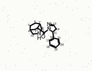 O=C(C1CC2CCC1CNC2)N1N=CCC1c1ccccc1